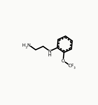 NCCNc1ccccc1OC(F)(F)F